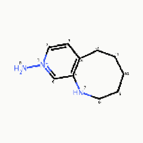 N[n+]1ccc2c(c1)NCCCCC2